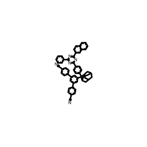 N#Cc1ccc(-c2cc(-c3ccc(C#N)cc3)cc(C3(c4ccc(-c5nc(-c6ccccc6)nc(-c6ccc7ccccc7c6)n5)cc4)C4CC5CC(C4)CC3C5)c2)cc1